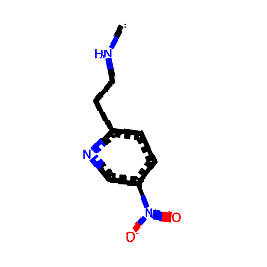 [CH]NCCc1ccc([N+](=O)[O-])cn1